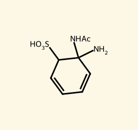 CC(=O)NC1(N)C=CC=CC1S(=O)(=O)O